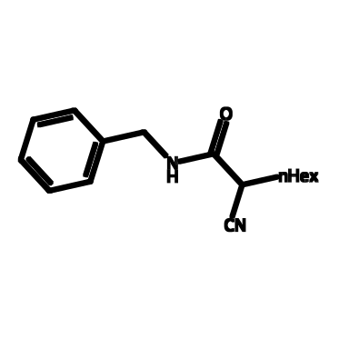 CCCCCCC(C#N)C(=O)NCc1ccccc1